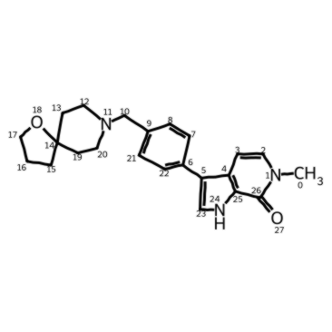 Cn1ccc2c(-c3ccc(CN4CCC5(CCCO5)CC4)cc3)c[nH]c2c1=O